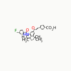 CC1(C)CCC(C)(C)c2c(NC(=O)c3ccc(CF)cc3)cc(C(=O)C=Cc3ccc(C(=O)O)cc3)cc21